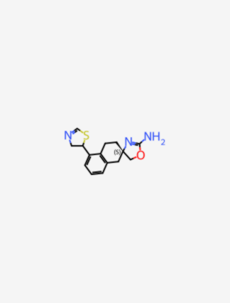 NC1=N[C@]2(CCc3c(cccc3C3CN=CS3)C2)CO1